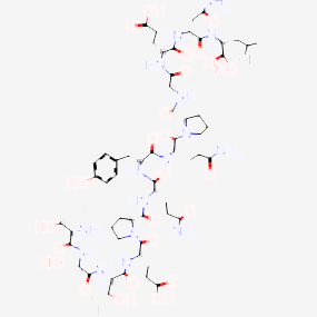 CC(C)C[C@H](NC(=O)[C@H](CC(N)=O)NC(=O)[C@H](CCC(=O)O)NC(=O)CNC(=O)[C@@H]1CCCN1C(=O)[C@H](CCC(N)=O)NC(=O)[C@H](Cc1ccc(O)cc1)NC(=O)[C@H](CCC(N)=O)NC(=O)[C@@H]1CCCN1C(=O)[C@H](CCC(=O)O)NC(=O)[C@@H](NC(=O)[C@H](CO)NC(=O)[C@@H](N)[C@@H](C)O)[C@@H](C)O)C(=O)O